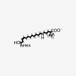 CCCCCC[C@@H](O)C/C=C\CCCCCCCCNCCCC(C(=O)[O-])[N+](C)(C)C